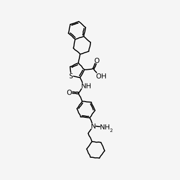 NN(CC1CCCCC1)c1ccc(C(=O)Nc2scc(C3CCc4ccccc4C3)c2C(=O)O)cc1